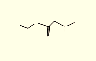 [CH2]NCC(=O)OCC